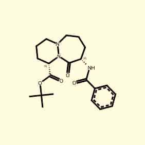 CC(C)(C)OC(=O)[C@@H]1CCCN2CCC[C@H](NC(=O)c3ccccc3)C(=O)N12